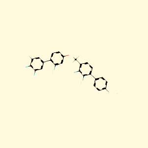 CCCCCc1ccc(-c2ccc(C(F)(F)Oc3ccc(-c4cc(F)c(F)c(F)c4)c(F)c3)c(F)c2F)cc1